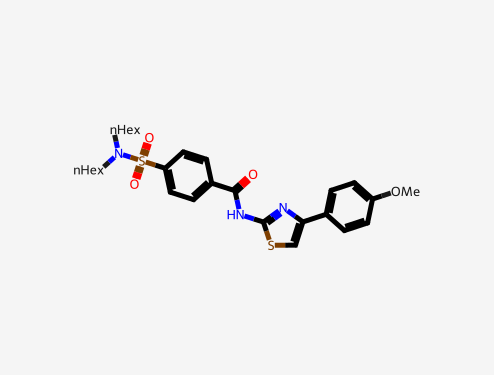 CCCCCCN(CCCCCC)S(=O)(=O)c1ccc(C(=O)Nc2nc(-c3ccc(OC)cc3)cs2)cc1